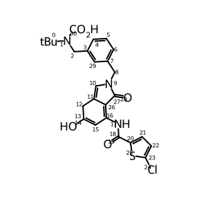 CC(C)(C)N(Cc1cccc(CN2C=C3CC(O)=CC(NC(=O)c4ccc(Cl)s4)=C3C2=O)c1)C(=O)O